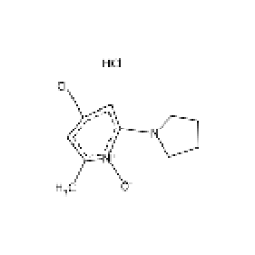 Cc1cc(Cl)cc(N2CCCC2)[n+]1[O-].Cl